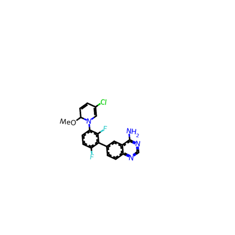 COC1C=CC(Cl)=CN1c1ccc(F)c(-c2ccc3ncnc(N)c3c2)c1F